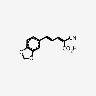 N#CC(=CC=Cc1ccc2c(c1)OCO2)C(=O)O